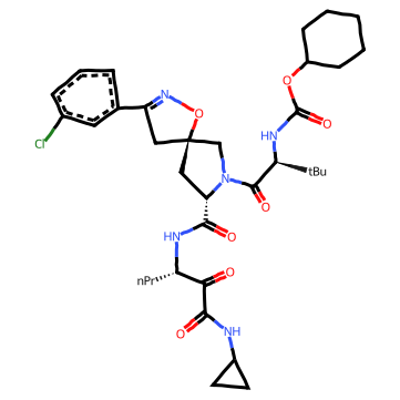 CCC[C@H](NC(=O)[C@@H]1C[C@]2(CC(c3cccc(Cl)c3)=NO2)CN1C(=O)[C@@H](NC(=O)OC1CCCCC1)C(C)(C)C)C(=O)C(=O)NC1CC1